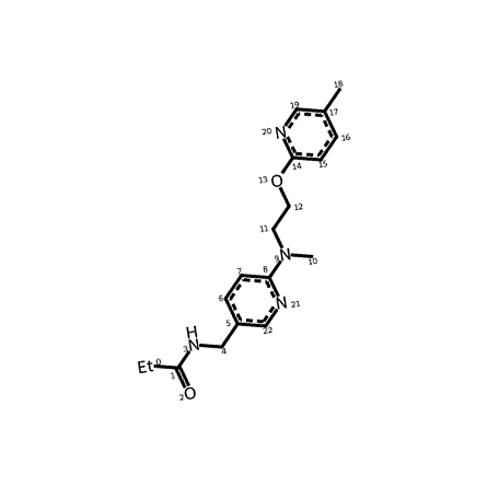 CCC(=O)NCc1ccc(N(C)CCOc2ccc(C)cn2)nc1